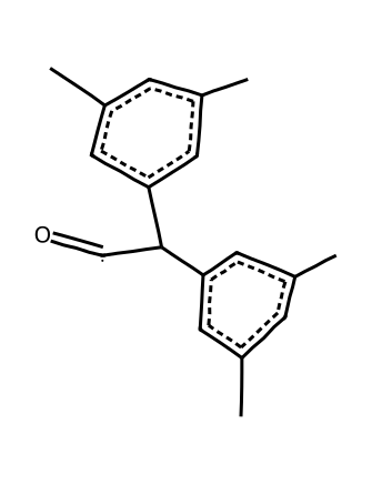 Cc1cc(C)cc(C([C]=O)c2cc(C)cc(C)c2)c1